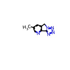 Cc1cnc2c(c1)Cn1nnnc1-2